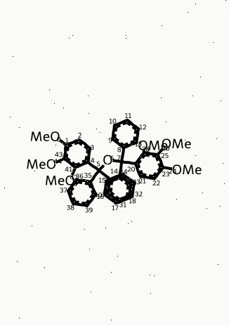 COc1ccc(C(OC(c2ccccc2)(c2ccccc2)c2ccc(OC)c(OC)c2OC)(c2ccccc2)c2ccccc2)c(OC)c1OC